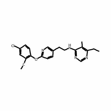 CCc1cc(Cl)ccc1Oc1ccc(CCNc2ncnc(CC)c2C)cn1